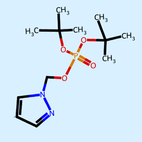 CC(C)(C)OP(=O)(OCn1c[c]cn1)OC(C)(C)C